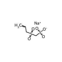 C=CCS(=O)(=O)CS(=O)(=O)[O-].[Na+]